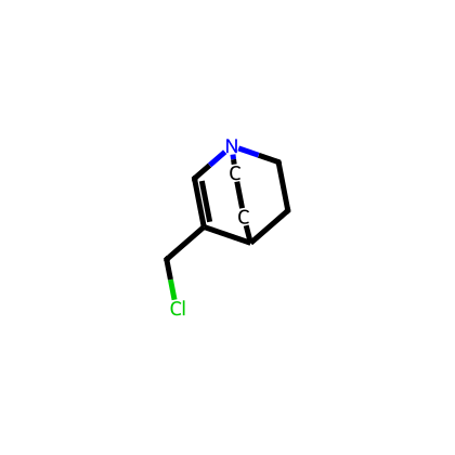 ClCC1=CN2CCC1CC2